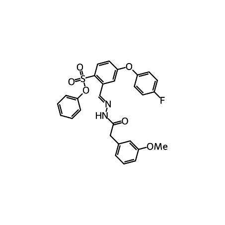 COc1cccc(CC(=O)NN=Cc2cc(Oc3ccc(F)cc3)ccc2S(=O)(=O)Oc2ccccc2)c1